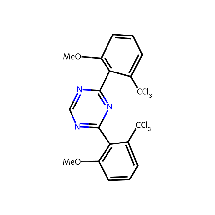 COc1cccc(C(Cl)(Cl)Cl)c1-c1ncnc(-c2c(OC)cccc2C(Cl)(Cl)Cl)n1